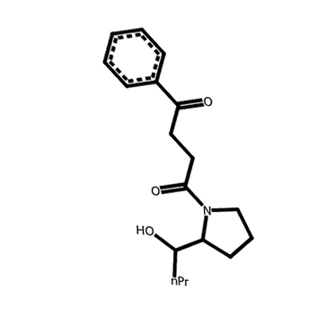 CCCC(O)C1CCCN1C(=O)CCC(=O)c1ccccc1